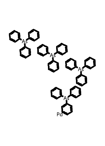 [Pd].c1ccc([As](c2ccccc2)c2ccccc2)cc1.c1ccc([As](c2ccccc2)c2ccccc2)cc1.c1ccc([As](c2ccccc2)c2ccccc2)cc1.c1ccc([As](c2ccccc2)c2ccccc2)cc1